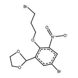 O=[N+]([O-])c1cc(Br)cc(C2OCCO2)c1OCCCBr